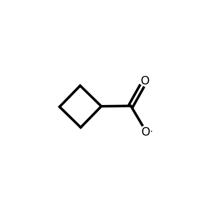 [O]C(=O)C1CCC1